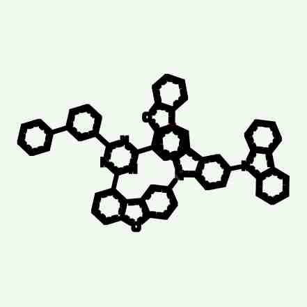 c1ccc(-c2cccc(-c3nc(-c4cccc5c4oc4ccccc45)nc(-c4cccc5oc6ccc(-n7c8ccccc8c8cc(-n9c%10ccccc%10c%10ccccc%109)ccc87)cc6c45)n3)c2)cc1